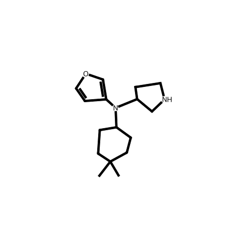 CC1(C)CCC(N(c2ccoc2)C2CCNC2)CC1